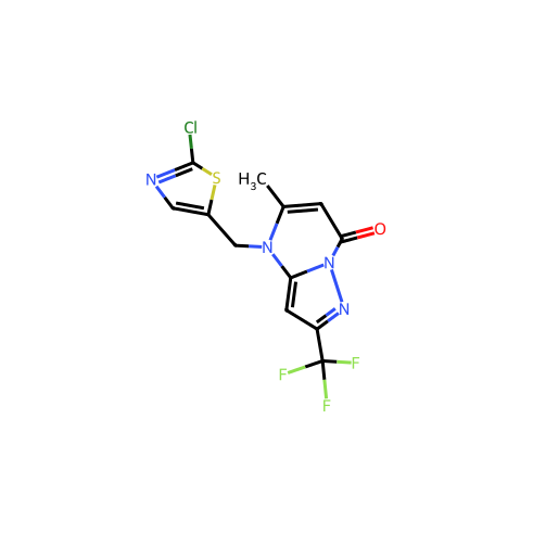 Cc1cc(=O)n2nc(C(F)(F)F)cc2n1Cc1cnc(Cl)s1